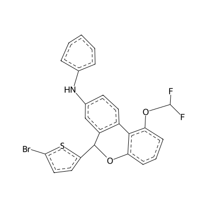 FC(F)Oc1cccc2c1-c1ccc(Nc3ccccc3)cc1C(c1ccc(Br)s1)O2